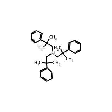 CC(C)([CH2][Al]([CH2]C(C)(C)c1ccccc1)[CH2]C(C)(C)c1ccccc1)c1ccccc1